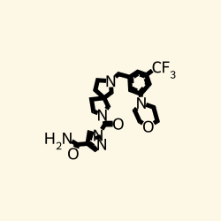 NC(=O)c1cnn(C(=O)N2CCC3(CCN(Cc4cc(N5CCOCC5)cc(C(F)(F)F)c4)C3)C2)c1